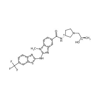 C[C@@H](O)CN1CC[C@@H](NC(=O)c2ccc3c(c2)nc(Nc2nc4ccc(C(F)(F)F)cc4s2)n3C)C1